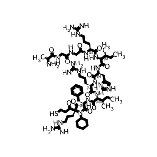 CC[C@H](C)[C@H](NC(=O)[C@H](CCCNC(=N)N)NC(=O)CNC(=O)CNC(=O)[C@H](C)N)C(=O)N[C@@H](Cc1c[nH]cn1)C(=O)N[C@@H](CCCNC(=N)N)C(=O)N[C@H](C(=O)N[C@@H](Cc1ccccc1)C(=O)N(C1CCCCC1)[C@]([C]=O)(CCCNC(=N)N)C(=O)CCS)[C@@H](C)CC